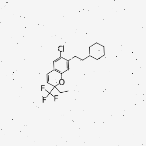 CCC1(C(F)(F)F)C=Cc2cc(Cl)c(CCC3CCCCC3)cc2O1